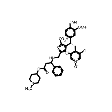 COc1ccc([C@H](Cc2c(Cl)c[n+]([O-])cc2Cl)c2cc(CNC(CC(=O)OC3CCN(C)CC3)c3ccccc3)sc2C(=O)O)cc1OC